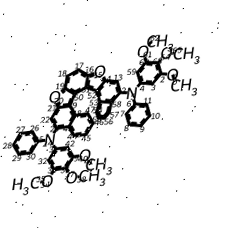 COc1cc(N(c2ccccc2)c2cc3oc4ccc5oc6cc(N(c7ccccc7)c7cc(OC)c(OC)c(OC)c7)c7ccccc7c6c5c4c3c3ccccc23)cc(OC)c1OC